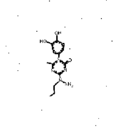 CCCN(N)c1nc(C)n(-c2ccc(O)c(O)c2)c(=O)n1